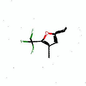 [CH2]c1cc(C)oc1C(F)(F)F